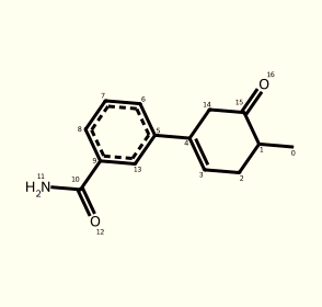 CC1CC=C(c2cccc(C(N)=O)c2)CC1=O